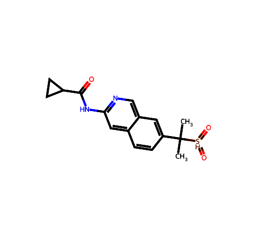 CC(C)(c1ccc2cc(NC(=O)C3CC3)ncc2c1)[SH](=O)=O